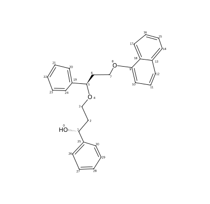 O[C@H](CCO[C@H](CCOc1cccc2ccccc12)c1ccccc1)c1ccccc1